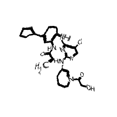 C=CC(=O)Nc1cc(C2CCCC2)ccc1Nc1nc(N[C@H]2CCCN(C(=O)CO)C2)ncc1Cl